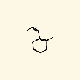 C/C=C\C1=C(C)CCCC1